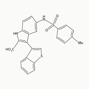 CC(C)(C)c1ccc(S(=O)(=O)Nc2ccc3[nH]c(C(=O)O)c(-c4csc5ccccc45)c3c2)cc1